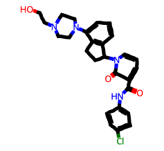 O=C(Nc1ccc(Cl)cc1)c1cccn(C2CCc3c2cccc3N2CCN(CCO)CC2)c1=O